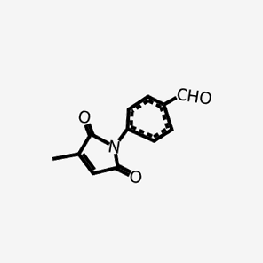 CC1=CC(=O)N(c2ccc(C=O)cc2)C1=O